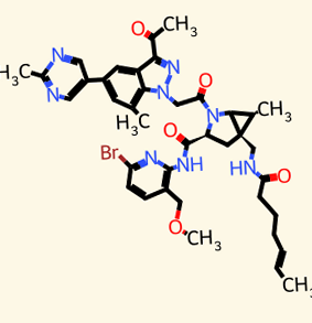 C/C=C/CCCC(=O)NC[C@@]12C[C@@H](C(=O)Nc3nc(Br)ccc3COC)N(C(=O)Cn3nc(C(C)=O)c4cc(-c5cnc(C)nc5)cc(C)c43)C1[C@@H]2C